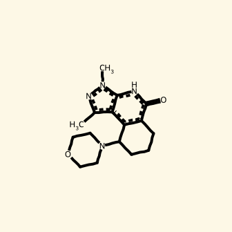 Cc1nn(C)c2[nH]c(=O)c3c(c12)C(N1CCOCC1)CCC3